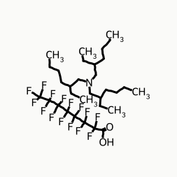 CCCCC(CC)CN(CC(CC)CCCC)CC(CC)CCCC.O=C(O)C(F)(F)C(F)(F)C(F)(F)C(F)(F)C(F)(F)C(F)(F)C(F)(F)F